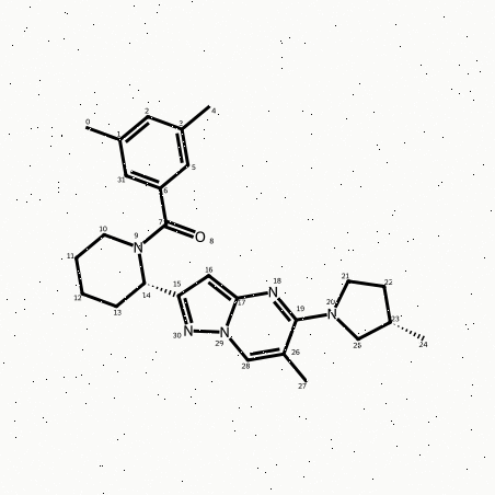 Cc1cc(C)cc(C(=O)N2CCCC[C@H]2c2cc3nc(N4CC[C@H](C)C4)c(C)cn3n2)c1